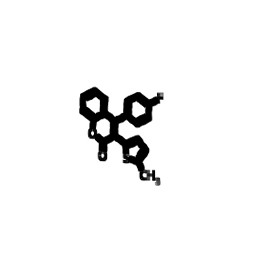 Cc1ccc(-c2c(-c3ccc(F)cc3)c3ccccc3oc2=O)s1